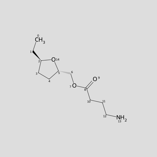 CC[C@@H]1CC[C@@H](COC(=O)CCCN)O1